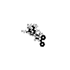 CO[C@H]1C(=O)N2C(C(=O)C(C)(C)C)=C(C)C(C)(Sc3nc(=O)c(OC(c4ccccc4)c4ccccc4)nn3C)S(=O)(=O)[C@H]12